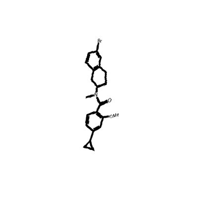 COc1cc(C2CC2)ccc1C(=O)N(C)C1CCc2cc(Br)ccc2C1